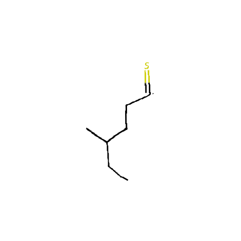 CCC(C)CC[C]=S